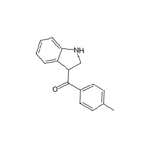 Cc1ccc(C(=O)C2CNc3ccccc32)cc1